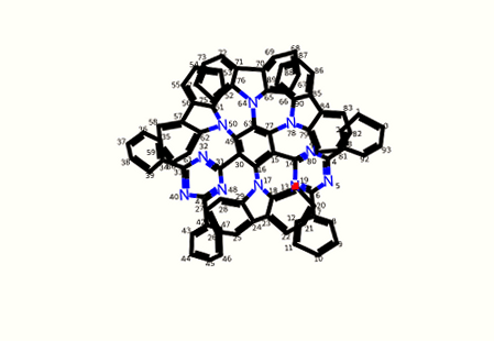 c1ccc(-c2nc(-c3ccccc3)nc(-c3c(-n4c5ccccc5c5ccccc54)c(-c4nc(-c5ccccc5)nc(-c5ccccc5)n4)c(-n4c5ccccc5c5ccccc54)c(-n4c5ccccc5c5ccccc54)c3-n3c4ccccc4c4ccccc43)n2)cc1